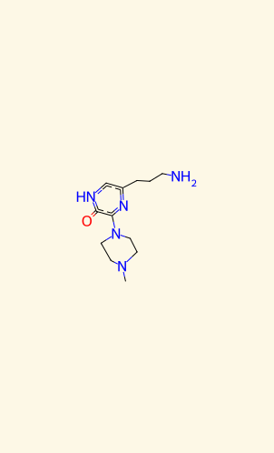 CN1CCN(c2nc(CCCN)c[nH]c2=O)CC1